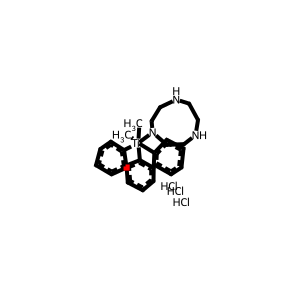 Cl.Cl.Cl.[CH3][Ti]([CH3])([c]1ccccc1)([c]1ccccc1)([c]1ccccc1)[N]1CCNCCNCC1